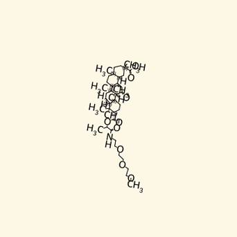 COCCOCCOCCNC(=O)C(C)OC(=O)[C@H]1CC[C@]2(C)[C@H]3C(=O)C=C4[C@@H]5C[C@@](C)(C(=O)O)CC[C@]5(C)CC[C@@]4(C)[C@]3(C)CC[C@H]2C1(C)C